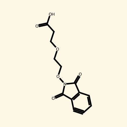 O=C(O)CCOCCON1C(=O)c2c#cccc2C1=O